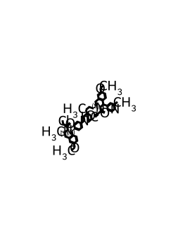 C#CC(=O)N1C(c2ccnc(C)c2)c2ccc(OC)cc2C[C@@H]1CCC(C)C1CN(c2ccc([C@H]3c4ccc(OC)cc4C[C@H](C)N3C(=O)CCl)cc2)CCO1